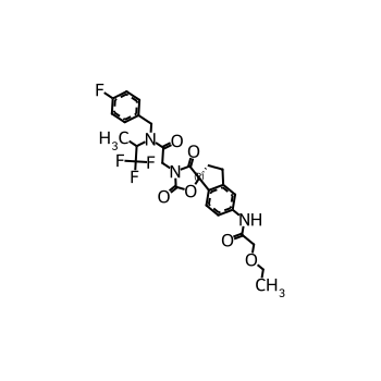 CCOCC(=O)Nc1ccc2c(c1)CC[C@@]21OC(=O)N(CC(=O)N(Cc2ccc(F)cc2)C(C)C(F)(F)F)C1=O